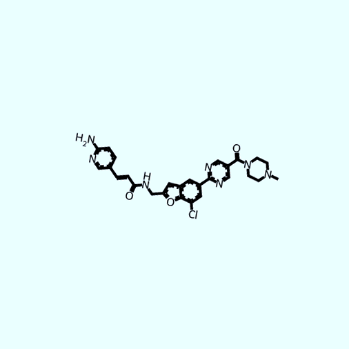 CN1CCN(C(=O)c2cnc(-c3cc(Cl)c4oc(CNC(=O)C=Cc5ccc(N)nc5)cc4c3)nc2)CC1